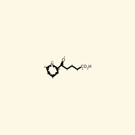 O=C(O)CCCC(=O)c1ccccn1